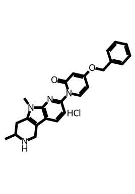 CC1Cc2c(c3ccc(-n4ccc(OCc5ccccc5)cc4=O)nc3n2C)CN1.Cl